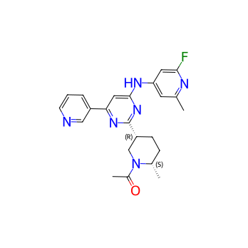 CC(=O)N1C[C@H](c2nc(Nc3cc(C)nc(F)c3)cc(-c3cccnc3)n2)CC[C@@H]1C